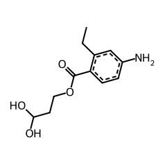 CCc1cc(N)ccc1C(=O)OCCC(O)O